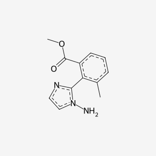 COC(=O)c1cccc(C)c1-c1nccn1N